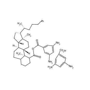 CC(C)CCC[C@@H](C)[C@H]1CC[C@H]2[C@@H]3CCC4CCCC(C(=O)OC(=O)c5cc(N)cc(N)c5)[C@]4(C)[C@H]3CC[C@]12C.Nc1cc(N)cc(C(=O)O)c1